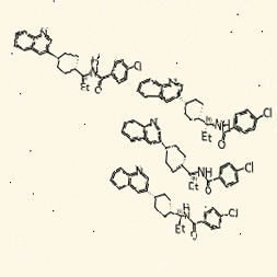 CC[C@@H](NC(=O)c1ccc(Cl)cc1)[C@H]1CC[C@@H](c2cnc3ccccc3c2)CC1.CC[C@@H](NC(=O)c1ccc(Cl)cc1)[C@H]1CC[C@H](c2cnc3ccccc3c2)CC1.CC[C@H](NC(=O)c1ccc(Cl)cc1)[C@H]1CC[C@@H](c2cnc3ccccc3c2)CC1.CC[C@H](NC(=O)c1ccc(Cl)cc1)[C@H]1CC[C@H](c2cnc3ccccc3c2)CC1